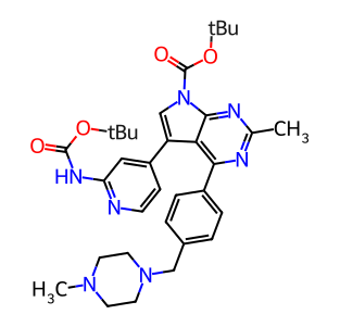 Cc1nc(-c2ccc(CN3CCN(C)CC3)cc2)c2c(-c3ccnc(NC(=O)OC(C)(C)C)c3)cn(C(=O)OC(C)(C)C)c2n1